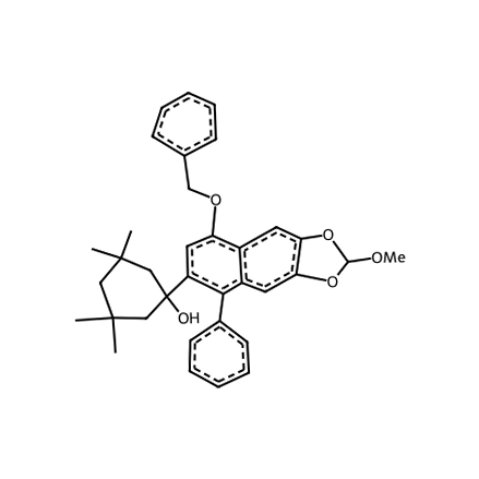 COC1Oc2cc3c(OCc4ccccc4)cc(C4(O)CC(C)(C)CC(C)(C)C4)c(-c4ccccc4)c3cc2O1